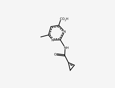 Cc1cc(C(=O)O)nc(NC(=O)C2=CC2)n1